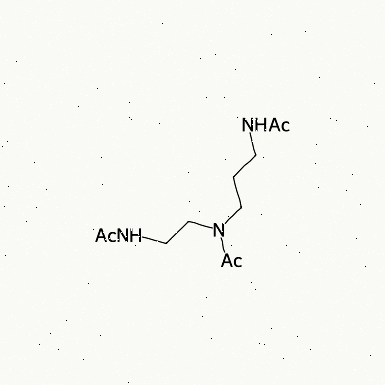 CC(=O)NCCCN(CCNC(C)=O)C(C)=O